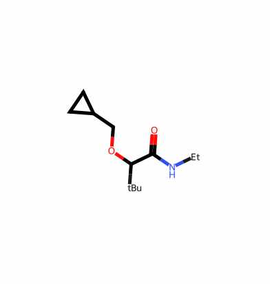 CCNC(=O)C(OCC1CC1)C(C)(C)C